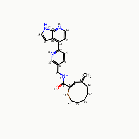 C=C1/C=C(/C(=O)NCc2ccc(-c3ccnc4[nH]ccc34)nc2)SCCCCC1